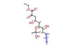 CCOC(=O)C(=O)CC(O)C[C@H](OC(C)(C)O)[C@H](O)CN=[N+]=[N-]